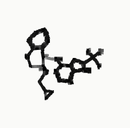 FC(F)(F)c1cc2c(N[C@H]3c4ccccc4OC[C@@H]3OCC3CC3)ncnc2[nH]1